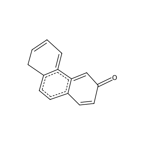 O=C1C=Cc2ccc3c(c2=C1)=CC=CC3